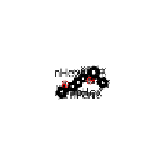 CCCCCCC1(CCCCC)c2cc3c(cc2-c2oc4ccccc4c21)C(CCCCCC)(CCCCCC)c1c-3oc2c(-c3ccccc3)cccc12